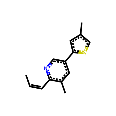 C/C=C\c1ncc(-c2cc(C)cs2)cc1C